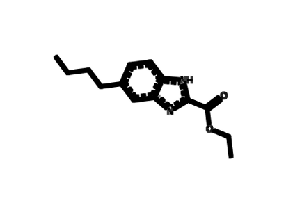 CCCCc1ccc2[nH]c(C(=O)OCC)nc2c1